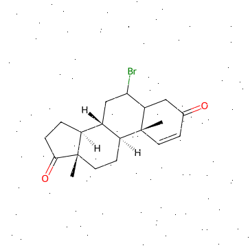 C[C@]12C=CC(=O)CC1C(Br)C[C@@H]1[C@@H]2CC[C@]2(C)C(=O)CC[C@@H]12